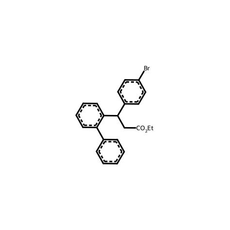 CCOC(=O)CC(c1ccc(Br)cc1)c1ccccc1-c1ccccc1